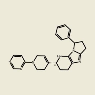 C1=C([C@H]2CCc3nc4n(c3N2)C(c2ccccc2)CC4)CCN(c2ccncn2)C1